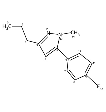 CCCc1cc(-c2ccc(F)cc2)n(C)n1